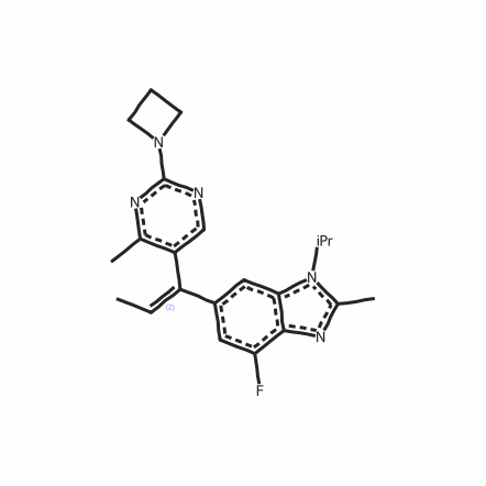 C/C=C(/c1cc(F)c2nc(C)n(C(C)C)c2c1)c1cnc(N2CCC2)nc1C